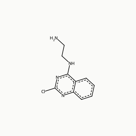 NCCNc1nc(Cl)nc2ccccc12